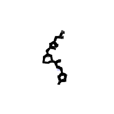 CCNCc1cn(C[C@@H]2CCCN(C(=O)/C=C/c3cnn(C)c3)C2)nn1